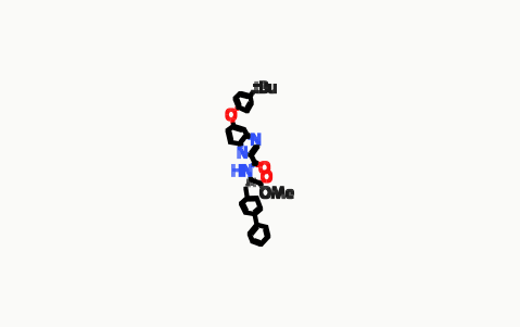 COC(=O)[C@H](Cc1ccc(-c2ccccc2)cc1)NC(=O)c1cnc2cc(Oc3ccc(C(C)(C)C)cc3)ccc2n1